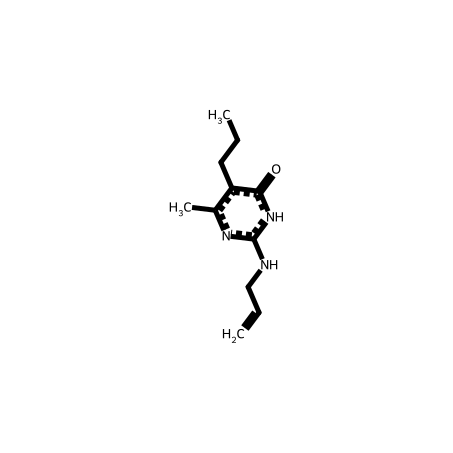 C=CCNc1nc(C)c(CCC)c(=O)[nH]1